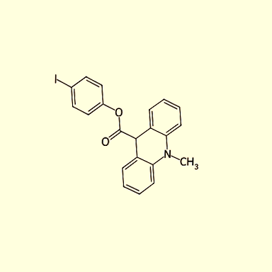 CN1c2ccccc2C(C(=O)Oc2ccc(I)cc2)c2ccccc21